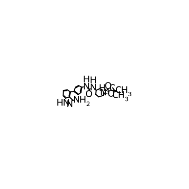 CC(C)(C)OC(=O)N1CCCC(NC(=O)Nc2ccc(-c3cccc4[nH]nc(N)c34)cc2)C1